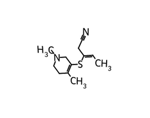 C/C=C(/CC#N)SC1=C(C)CCN(C)C1